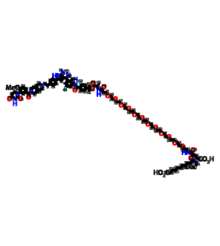 C=Nc1[nH]c(-c2ccc(CCN3CCC4(CC3)CCN(C(=O)c3ccc(OC)c(N5CCC(=O)NC5=O)c3)CC4)cc2)cc1/C(=N\C)c1cc(F)cc(NC(=O)c2ccc(C(C)(C)OC(=O)[C@@H](C)NC(=O)CCOCCOCCOCCOCCOCCOCCOCCOCCOCCOCCOCCOCCNC(=O)CCC(C(=O)O)N(CCCCCCCCCCC)C(=O)CCCCCCCCCC(=O)O)cc2F)c1C